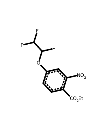 CCOC(=O)c1ccc(OC(F)C(F)F)cc1[N+](=O)[O-]